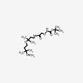 COC(C)(C)CCOC(C)(C)CCNC(=O)CONC(=O)OC(C)(C)C